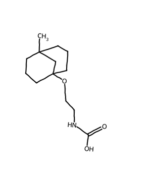 CC12CCCC(OCCNC(=O)O)(CCC1)C2